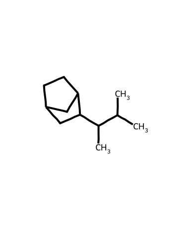 CC(C)C(C)C1CC2CCC1C2